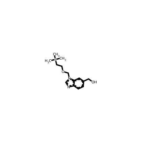 CS(C)(C)CCOCn1cnc2ccc(CO)cc21